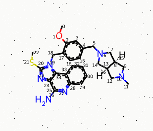 COc1cc(CN2C[C@H]3CN(C)C[C@H]3C2)ccc1Cn1c(SC)nc2c(N)nc3ccccc3c21